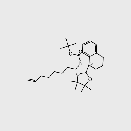 C=CCCCCCCN(C(=O)OC(C)(C)C)[C@@]1(B2OC(C)(C)C(C)(C)O2)CCCc2ccccc21